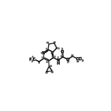 O=C(Nc1c2c(nc(CC(F)(F)F)c1C1CC1)CCC2)OCC(Cl)(Cl)Cl